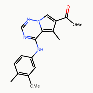 COC(=O)c1cn2ncnc(Nc3ccc(C)c(OC)c3)c2c1C